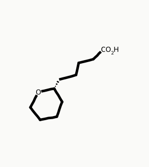 O=C(O)CCCC[C@@H]1CCCCO1